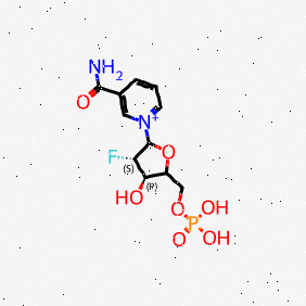 NC(=O)c1ccc[n+](C2OC(COP(=O)(O)O)[C@@H](O)[C@@H]2F)c1